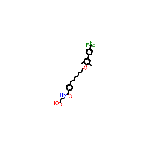 Cc1cc(-c2ccc(C(F)(F)F)cc2)cc(C)c1OCCCCCCCc1ccc(C(=O)NCCC(=O)O)cc1